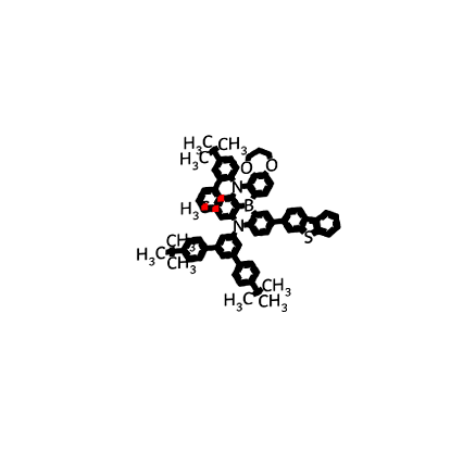 Cc1cc2c3c(c1)N(c1ccc(C(C)(C)C)cc1-c1ccccc1)c1c(ccc4c1OCCCO4)B3c1cc(-c3ccc4c(c3)sc3ccccc34)ccc1N2c1cc(-c2ccc(C(C)(C)C)cc2)cc(-c2ccc(C(C)(C)C)cc2)c1